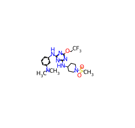 CN(C)c1cccc(Nc2nc(NC3CCN(S(C)(=O)=O)CC3)nc(OCC(F)(F)F)n2)c1